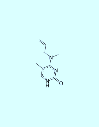 C=C[CH]N(C)c1nc(=O)[nH]cc1C